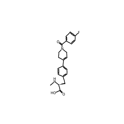 CN[C@@H](Cc1ccc(C2=CCN(C(=O)c3ccc(F)cc3)CC2)cc1)C(=O)O